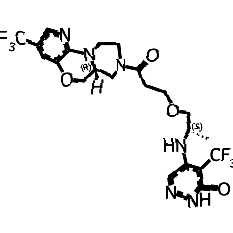 C[C@@H](COCCC(=O)N1CCN2c3ncc(C(F)(F)F)cc3OC[C@H]2C1)Nc1cn[nH]c(=O)c1C(F)(F)F